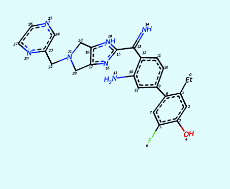 CCc1cc(O)c(F)cc1-c1ccc(C(=N)c2nc3c([nH]2)CN(Cc2cnccn2)C3)c(N)c1